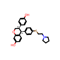 Oc1ccc([C@@H]2COc3cc(O)ccc3[C@@H]2c2ccc(SCCN3CCCC3)cc2)cc1